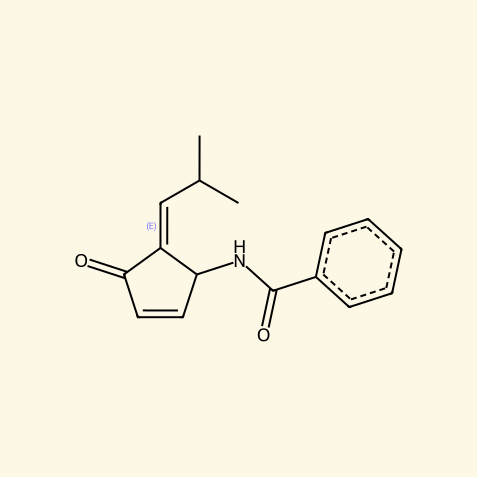 CC(C)/C=C1/C(=O)C=CC1NC(=O)c1ccccc1